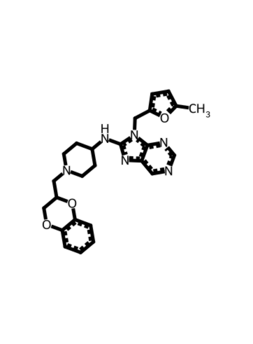 Cc1ccc(Cn2c(NC3CCN(CC4COc5ccccc5O4)CC3)nc3cncnc32)o1